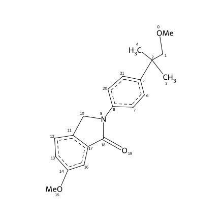 COCC(C)(C)c1ccc(N2Cc3ccc(OC)cc3C2=O)cc1